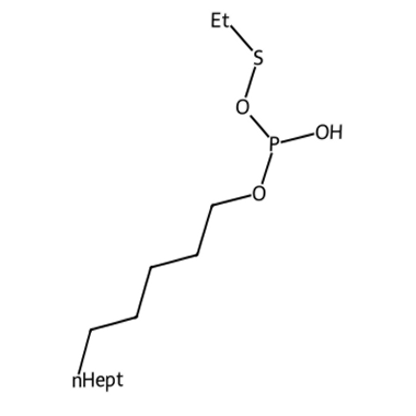 CCCCCCCCCCCCOP(O)OSCC